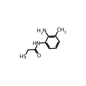 Cc1cccc(NC(=O)CS)c1N